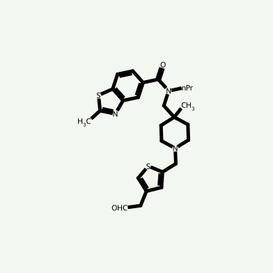 CCCN(CC1(C)CCN(Cc2cc(CC=O)cs2)CC1)C(=O)c1ccc2sc(C)nc2c1